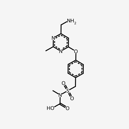 Cc1nc(CN)cc(Oc2ccc(CS(=O)(=O)N(C)C(=O)O)cc2)n1